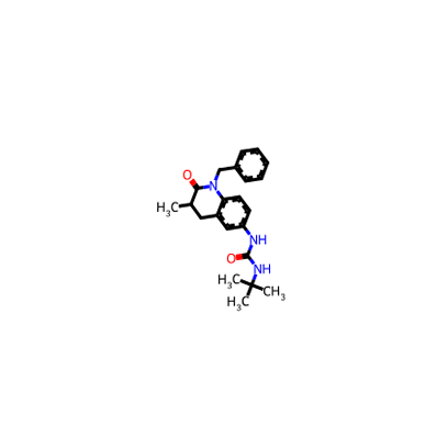 CC1Cc2cc(NC(=O)NC(C)(C)C)ccc2N(Cc2ccccc2)C1=O